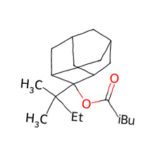 CCC(C)C(=O)OC1(C(C)(C)CC)C2CC3CC(C2)CC1C3